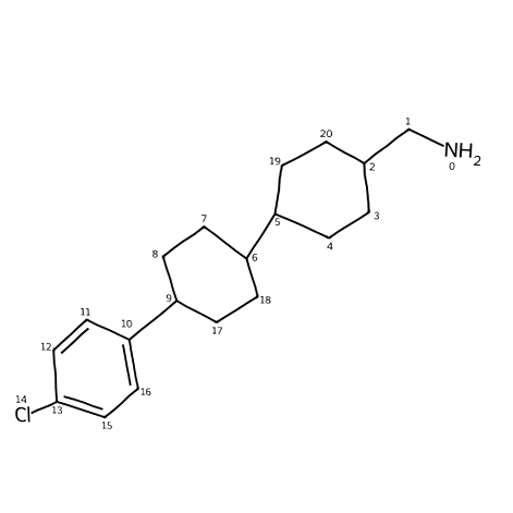 NCC1CCC(C2CCC(c3ccc(Cl)cc3)CC2)CC1